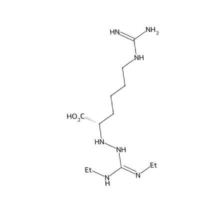 CCN=C(NCC)NN[C@@H](CCCCNC(=N)N)C(=O)O